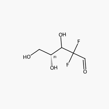 O=CC(F)(F)C(O)[C@H](O)CO